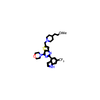 COCCC1CCN(Cc2cc3nc(-c4cc(C(F)(F)F)cc5[nH]ccc45)nc(N4CCOCC4)c3s2)CC1